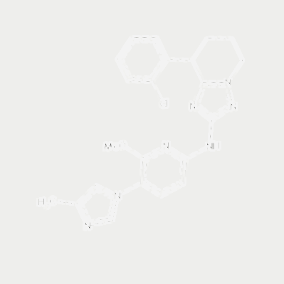 COc1nc(Nc2nc3n(n2)CCCC3c2ccccc2Cl)ccc1-n1cnc(C)c1